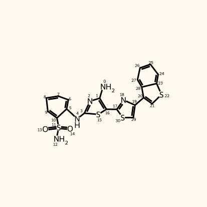 Nc1nc(Nc2ccccc2S(N)(=O)=O)sc1-c1nc(-c2csc3ccccc23)cs1